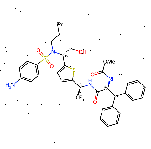 COC(=O)N[C@H](C(=O)N[C@H](c1ccc([C@@H](CO)N(CCC(C)C)S(=O)(=O)c2ccc(N)cc2)s1)C(F)(F)F)C(c1ccccc1)c1ccccc1